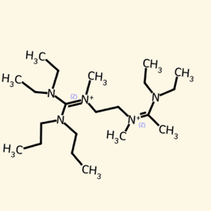 CCCN(CCC)/C(N(CC)CC)=[N+](/C)CC/[N+](C)=C(/C)N(CC)CC